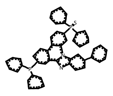 S=P(c1ccccc1)(c1ccccc1)c1ccc2c3ccc(P(c4ccccc4)c4ccccc4)cc3c3nc4ccc(-c5ccccc5)cc4n3c2c1